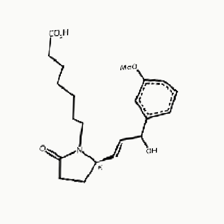 COc1cccc(C(O)C=C[C@H]2CCC(=O)N2CCCCCCC(=O)O)c1